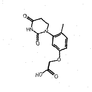 Cc1ccc(OCC(=O)O)cc1N1CCC(=O)NC1=O